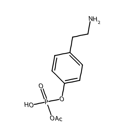 CC(=O)OP(=O)(O)Oc1ccc(CCN)cc1